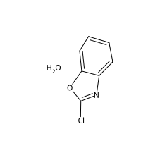 Clc1nc2ccccc2o1.O